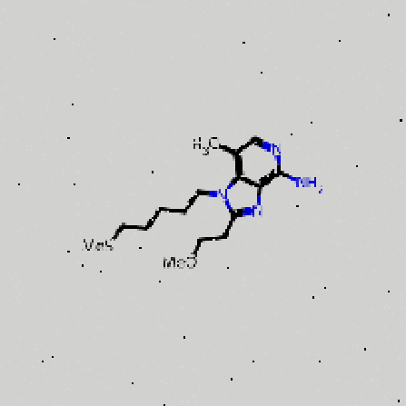 COCCc1nc2c(N)ncc(C)c2n1CCCCCSC